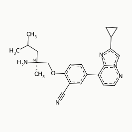 CC(C)C[C@](C)(N)COc1ccc(-c2ccnn3cc(C4CC4)nc23)cc1C#N